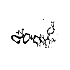 CCCC(c1nc2cc(N3CCC(c4ccccc4)(N(C)C)CC3)cnc2n1CC)N1CCNCC1